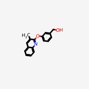 Cc1cc2ccccc2nc1Oc1cccc(CO)c1